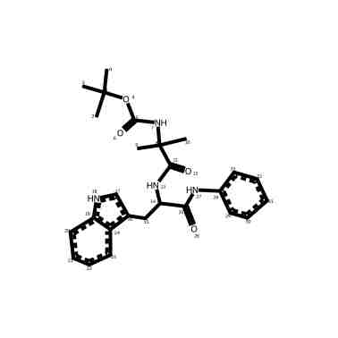 CC(C)(C)OC(=O)NC(C)(C)C(=O)NC(Cc1c[nH]c2ccccc12)C(=O)Nc1ccccc1